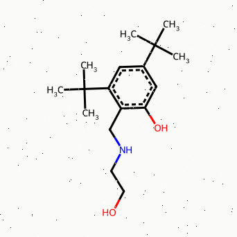 CC(C)(C)c1cc(O)c(CNCCO)c(C(C)(C)C)c1